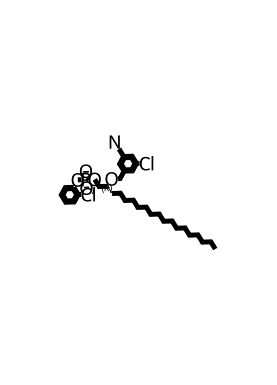 CCCCCCCCCCCCCCCCC[C@H](COP(=O)(OC)Oc1ccccc1Cl)OCc1cc(Cl)cc(C#N)c1